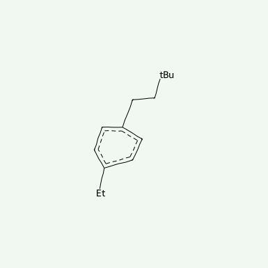 CCc1ccc(CCC(C)(C)C)cc1